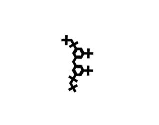 CC(C)(C)CC(C)(C)c1cc(Cc2[c]c(C(C)(C)C)cc(C(C)(C)CC(C)(C)C)c2)[c]c(C(C)(C)C)c1